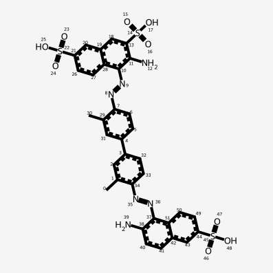 Cc1cc(-c2ccc(N=Nc3c(N)c(S(=O)(=O)O)cc4cc(S(=O)(=O)O)ccc34)c(C)c2)ccc1N=Nc1c(N)ccc2cc(S(=O)(=O)O)ccc12